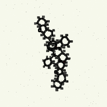 c1ccc(N(c2ccc(-c3ccc4c(c3)oc3ccccc34)cc2)c2ccccc2-n2c3ccccc3c3ccccc32)c(-c2cccc3c2oc2c4ccccc4ccc32)c1